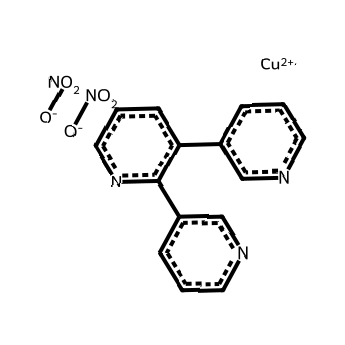 O=[N+]([O-])[O-].O=[N+]([O-])[O-].[Cu+2].c1cncc(-c2cccnc2-c2cccnc2)c1